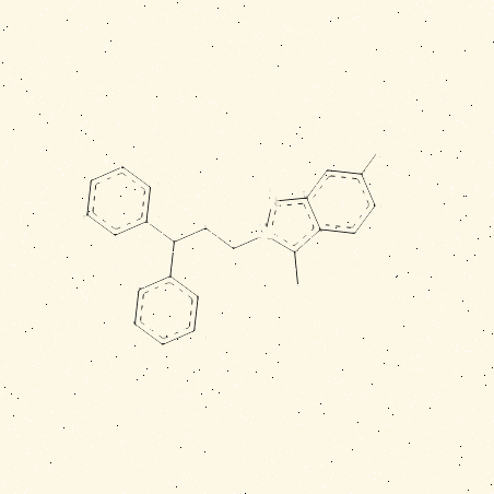 Cc1c2ccc(C(=O)O)cc2nn1CCC(c1ccccc1)c1ccccc1